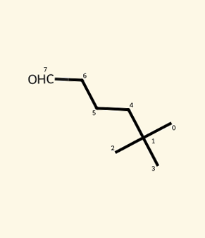 CC(C)(C)CCCC=O